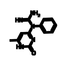 Cc1cc(N(C(=N)N)c2ccccc2)nc(=O)[nH]1